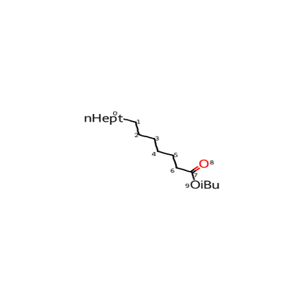 CCCCCCCCCCCCCC(=O)OCC(C)C